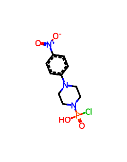 O=[N+]([O-])c1ccc(N2CCN(P(=O)(O)Cl)CC2)cc1